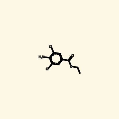 CCOC(=O)c1cc(Cl)c(N)c(Cl)c1